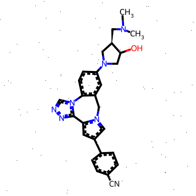 CN(C)C[C@@H]1CN(c2ccc3c(c2)Cn2cc(-c4ccc(C#N)cc4)cc2-c2nncn2-3)CC1O